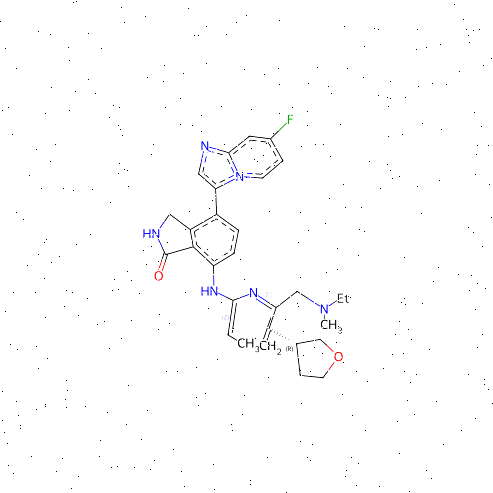 C=C(/C(CN(C)CC)=N\C(=C/C)Nc1ccc(-c2cnc3cc(F)ccn23)c2c1C(=O)NC2)[C@H]1CCOC1